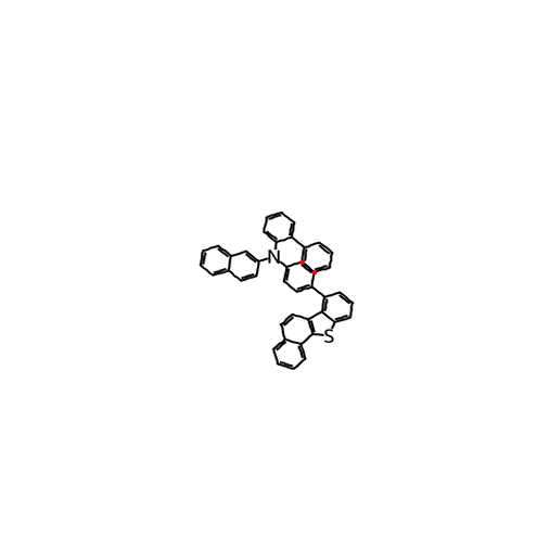 c1ccc(-c2ccccc2N(c2ccc(-c3cccc4sc5c6ccccc6ccc5c34)cc2)c2ccc3ccccc3c2)cc1